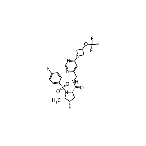 C[C@H]1[C@H](F)C[C@@H](C(=O)NCc2cc(N3CC(OC(F)(F)F)C3)ncn2)N1S(=O)(=O)c1ccc(F)cc1